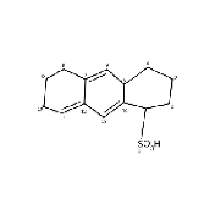 O=S(=O)(O)C1CCCC2C=C3CCCC=C3C=C21